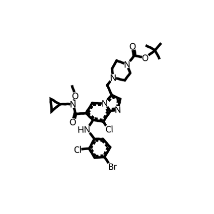 CON(C(=O)c1cn2c(CN3CCN(C(=O)OC(C)(C)C)CC3)cnc2c(Cl)c1Nc1ccc(Br)cc1Cl)C1CC1